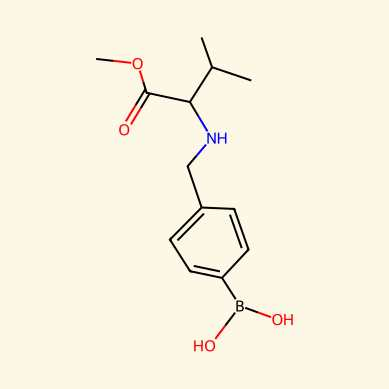 COC(=O)C(NCc1ccc(B(O)O)cc1)C(C)C